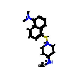 CN(C)c1cccc2c(SN3CCC(NC=O)CC3)cccc12